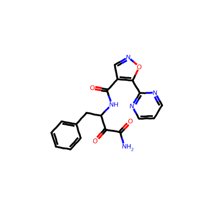 NC(=O)C(=O)C(Cc1ccccc1)NC(=O)c1cnoc1-c1ncccn1